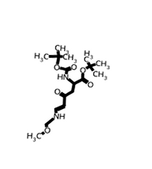 COCN/C=C/C(=O)CC(NC(=O)OC(C)(C)C)C(=O)OC(C)(C)C